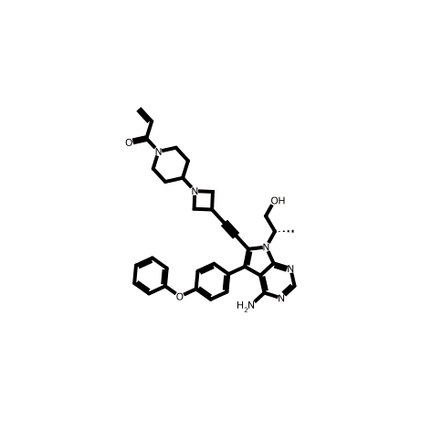 C=CC(=O)N1CCC(N2CC(C#Cc3c(-c4ccc(Oc5ccccc5)cc4)c4c(N)ncnc4n3[C@@H](C)CO)C2)CC1